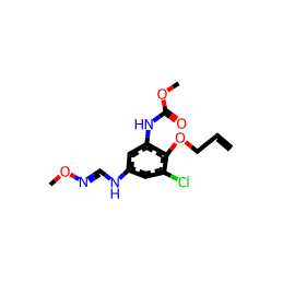 C=CCOc1c(Cl)cc(NC=NOC)cc1NC(=O)OC